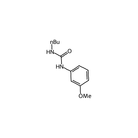 CCCCNC(=O)Nc1cccc(OC)c1